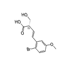 COc1ccc(Br)c(C=C[C@@H](CO)C(=O)O)c1